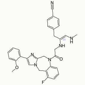 CN/C=C(/Cc1ccc(C#N)cc1)NCC(=O)N1Cc2nc(-c3ccccc3OC)cn2Cc2c(F)cccc21